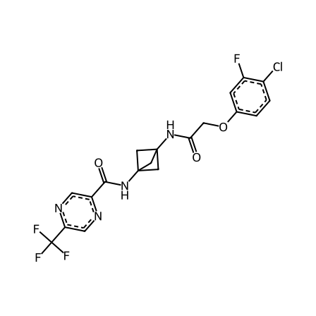 O=C(COc1ccc(Cl)c(F)c1)NC12CC(NC(=O)c3cnc(C(F)(F)F)cn3)(C1)C2